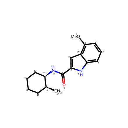 COc1cccc2[nH]c(C(=O)N[C@@H]3CCCC[C@@H]3C)cc12